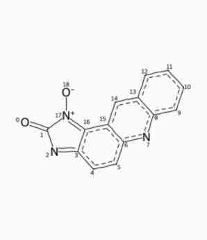 O=C1N=c2ccc3nc4ccccc4cc3c2=[N+]1[O-]